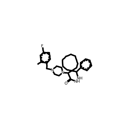 Cc1cc(F)ccc1CN1CCN(C2C(=O)NNC(c3ccccc3)C23CCCCCCCC3)CC1